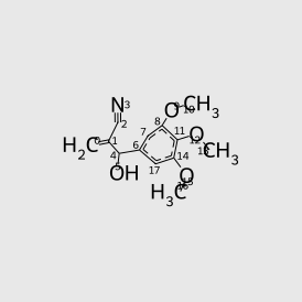 C=C(C#N)C(O)c1cc(OC)c(OC)c(OC)c1